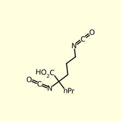 CCCC(CCCN=C=O)(N=C=O)C(=O)O